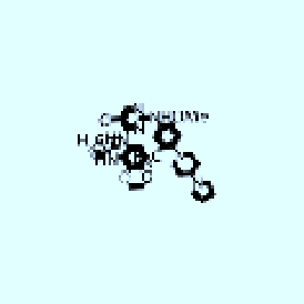 COc1cc(N2CCC(N3CCCC3)CC2)c(C)cc1Nc1ncc(Cl)c(Nc2ccc3c(c2NS(C)(=O)=O)OCCO3)n1